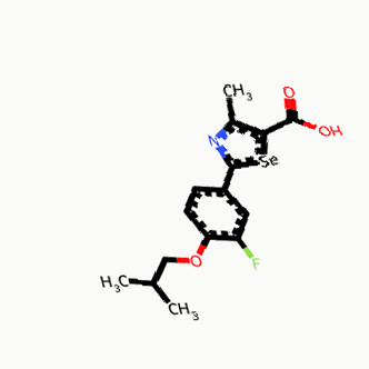 Cc1nc(-c2ccc(OCC(C)C)c(F)c2)[se]c1C(=O)O